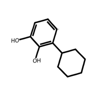 Oc1cc[c]c(C2CCCCC2)c1O